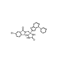 CCc1ccc2c(c1)C(=O)N(C[C@@]1(c3cc4c(-c5cccnc5)nccc4o3)NC(=O)NC1=O)C2